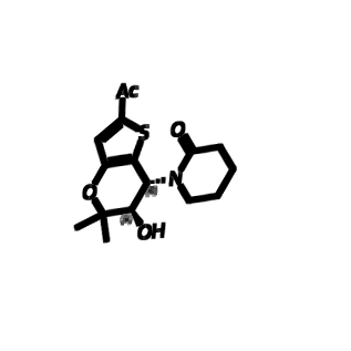 CC(=O)c1cc2c(s1)[C@H](N1CCCCC1=O)[C@@H](O)C(C)(C)O2